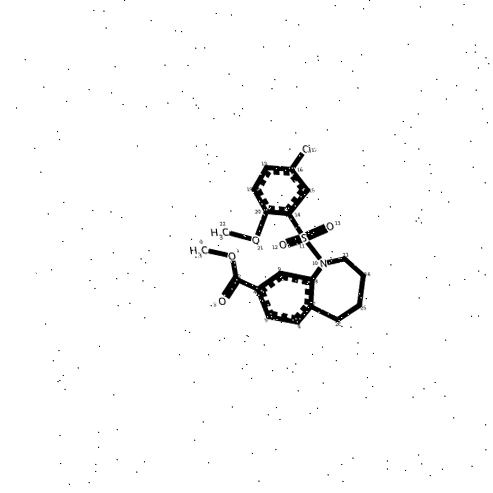 COC(=O)c1ccc2c(c1)N(S(=O)(=O)c1cc(Cl)ccc1OC)CCCC2